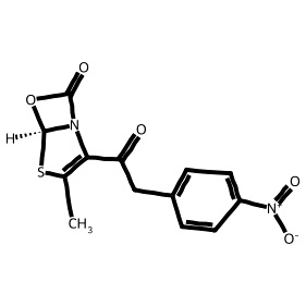 CC1=C(C(=O)Cc2ccc([N+](=O)[O-])cc2)N2C(=O)O[C@@H]2S1